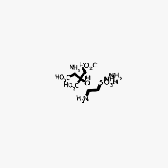 N.N.N.NCCS(=O)(=O)O.O=C(O)CC(O)(CC(=O)O)C(=O)O